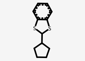 c1ccc2c(c1)SC([C]1CCCC1)S2